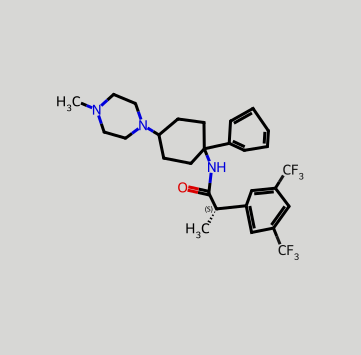 C[C@H](C(=O)NC1(c2ccccc2)CCC(N2CCN(C)CC2)CC1)c1cc(C(F)(F)F)cc(C(F)(F)F)c1